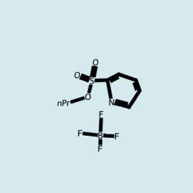 CCCOS(=O)(=O)c1ccccn1.F[B-](F)(F)F